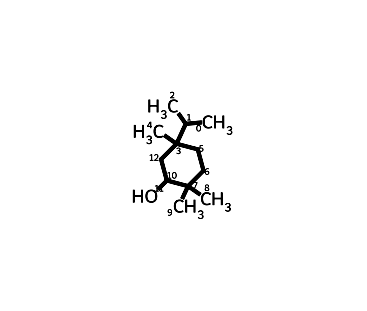 CC(C)C1(C)CCC(C)(C)C(O)C1